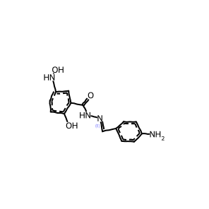 Nc1ccc(/C=N/NC(=O)c2cc(NO)ccc2O)cc1